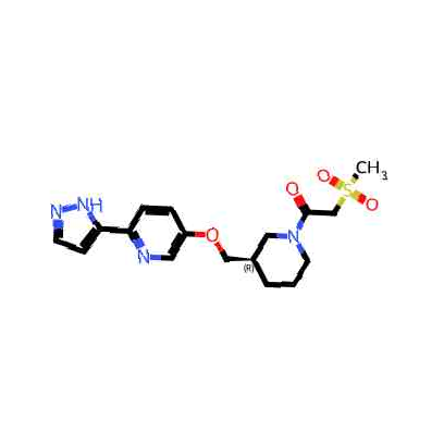 CS(=O)(=O)CC(=O)N1CCC[C@@H](COc2ccc(-c3ccn[nH]3)nc2)C1